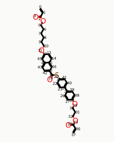 C=CC(=O)OCCCCCCOc1ccc2cc(C(=O)Sc3ccc(-c4ccc(OCCCOC(=O)C=C)cc4)cc3)ccc2c1